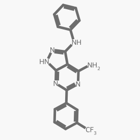 Nc1nc(-c2cccc(C(F)(F)F)c2)nc2[nH]nc(Nc3ccccc3)c12